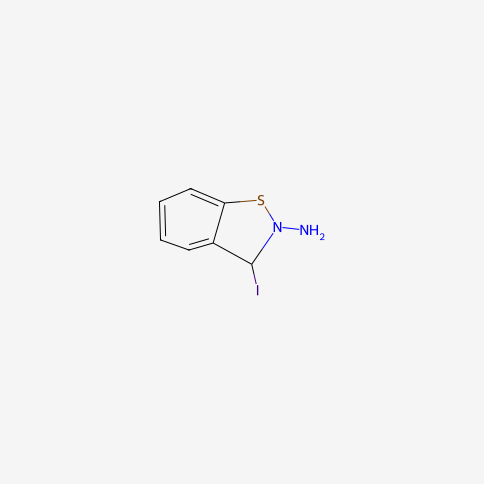 NN1Sc2ccccc2C1I